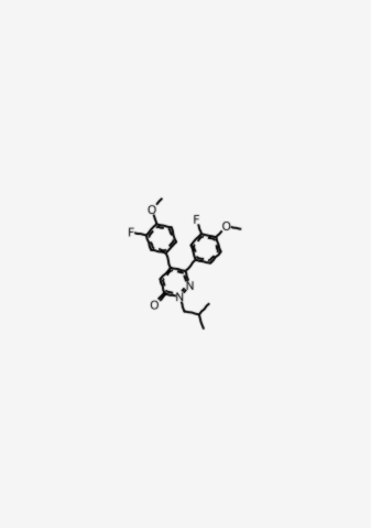 COc1ccc(-c2cc(=O)n(CC(C)C)nc2-c2ccc(OC)c(F)c2)cc1F